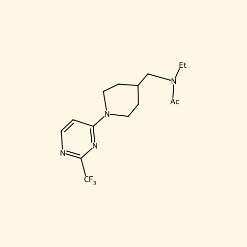 CCN(CC1CCN(c2ccnc(C(F)(F)F)n2)CC1)C(C)=O